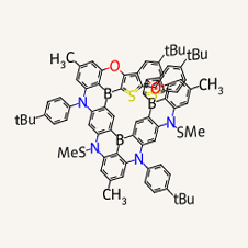 CSN1c2cc3c(cc2B2c4sc5ccc(C(C)(C)C)cc5c4Oc4cc(C)cc1c42)B1c2cc4c(cc2N(SC)c2cc(C)cc(c21)N3c1ccc(C(C)(C)C)cc1)N(c1ccc(C(C)(C)C)cc1)c1cc(C)cc2c1B4c1sc3ccc(C(C)(C)C)cc3c1O2